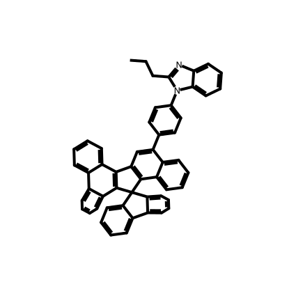 CCCc1nc2ccccc2n1-c1ccc(-c2cc3c(c4ccccc24)C2(c4ccccc4-c4ccccc42)c2c-3c3ccccc3c3ccccc23)cc1